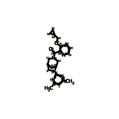 Cc1cc(C)nc(N2CC3CC2CN(C(=O)c2nccnc2OCC2CC2)C3)n1